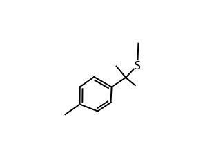 CSC(C)(C)c1ccc(C)cc1